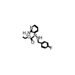 CCOC(=O)N(NCc1ccc(F)cc1)c1cccnc1N